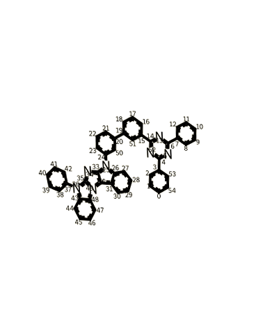 c1ccc(-c2nc(-c3ccccc3)nc(-c3cccc(-c4cccc(-n5c6ccccc6c6c5nc5n(-c7ccccc7)c7ccccc7n65)c4)c3)n2)cc1